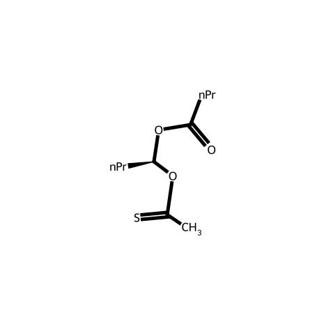 CCCC(=O)O[C@H](CCC)OC(C)=S